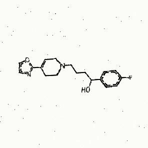 OC(CCCN1CC=C(c2ncco2)CC1)c1ccc(F)cc1